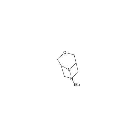 CC(C)(C)N1CC2COCC(C1)N2I